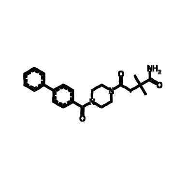 CC(C)([CH]C(=O)N1CCN(C(=O)c2ccc(-c3ccccc3)cc2)CC1)C(N)=O